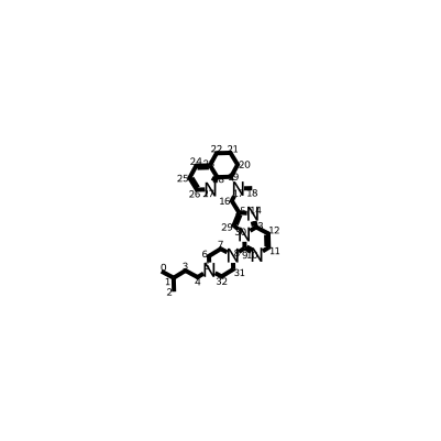 CC(C)CCN1CCN(c2nccc3nc(CN(C)[C@H]4CCCc5cccnc54)cn23)CC1